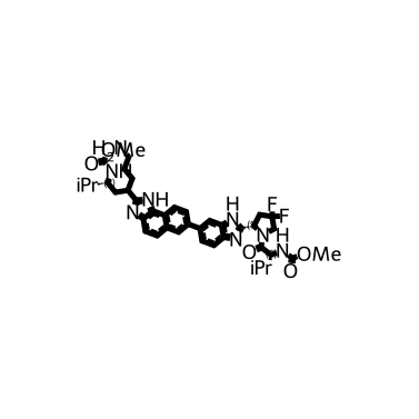 COC(=O)N[C@H](C(=O)N1CC(F)(F)C[C@H]1c1nc2ccc(-c3ccc4c(ccc5nc(C(CCCN)C[C@@H](NC(=O)OC)C(C)C)[nH]c54)c3)cc2[nH]1)C(C)C